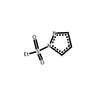 CCS(=O)(=O)n1[c]ccn1